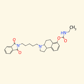 CCNC(=O)Oc1cccc2c1CCC1C2CCN1CCCCCN1C(=O)c2ccccc2C1=O